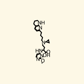 COc1nccc(NC(CCN(CCCCc2ccc3c(n2)NCCC3)C2CC2)C(=O)O)n1